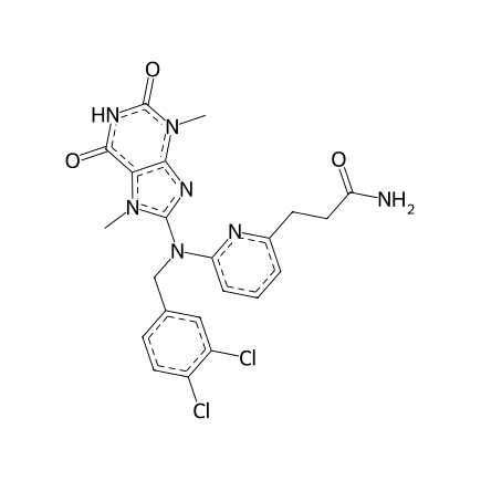 Cn1c(N(Cc2ccc(Cl)c(Cl)c2)c2cccc(CCC(N)=O)n2)nc2c1c(=O)[nH]c(=O)n2C